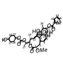 CO[C@H]1CC2C=C[C@H]3[C@H]4O[C@]2(/C(C)=C/[C@@H](C)[C@@H]([C@@H](C)OC(=O)OC2CCC(O)CC2)OC1=O)[C@@H]3[C@H](O)[C@@H](C)[C@H]4OC(=O)c1ccc[nH]1